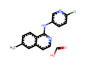 Cc1ccc2c(Nc3ccc(Cl)nc3)nccc2c1.O=CO